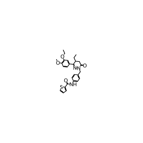 CCOc1cc(C2=NN(Cc3ccc(NC(=O)c4cccs4)cc3)C(=O)CC2CC)ccc1OC